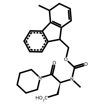 CC1CC=CC2=C1c1ccccc1C2COC(=O)N(C)[C@@H](CC(=O)O)C(=O)N1CCCCC1